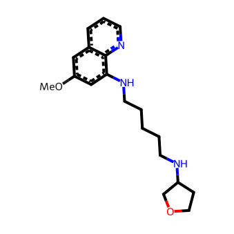 COc1cc(NCCCCCNC2CCOC2)c2ncccc2c1